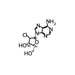 Nc1ncnc2c1ncn2[C@@H]1O[C@H](CO)[C@@H](O)C1Cl